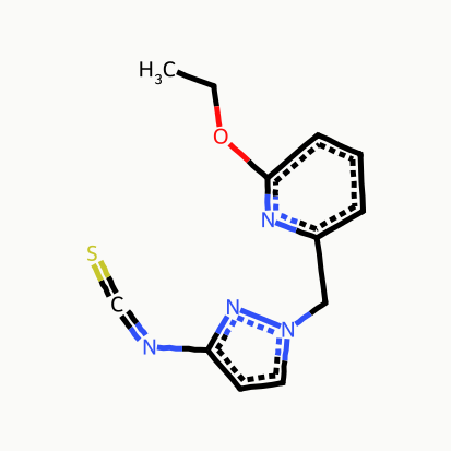 CCOc1cccc(Cn2ccc(N=C=S)n2)n1